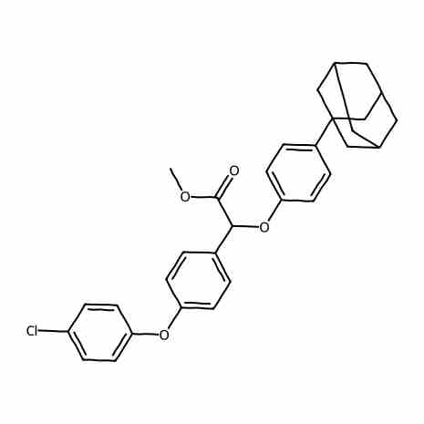 COC(=O)C(Oc1ccc(C23CC4CC(CC(C4)C2)C3)cc1)c1ccc(Oc2ccc(Cl)cc2)cc1